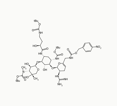 CN(C(=O)OC(C)(C)C)[C@@H]1[C@@H](O)[C@@H](O[C@@H]2[C@@H](O)[C@H](O[C@H]3OC(CNC(=O)OCc4ccc([N+](=O)[O-])cc4)=CC[C@H]3NC(=N)N)[C@@H](NC(=O)OC(C)(C)C)C[C@H]2NC(=O)[C@@H](O)CCNC(=O)OC(C)(C)C)OC[C@]1(C)O